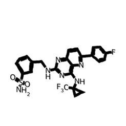 NS(=O)(=O)c1cccc(CNc2nc(NC3(C(F)(F)F)CC3)c3nc(-c4ccc(F)cc4)ccc3n2)c1